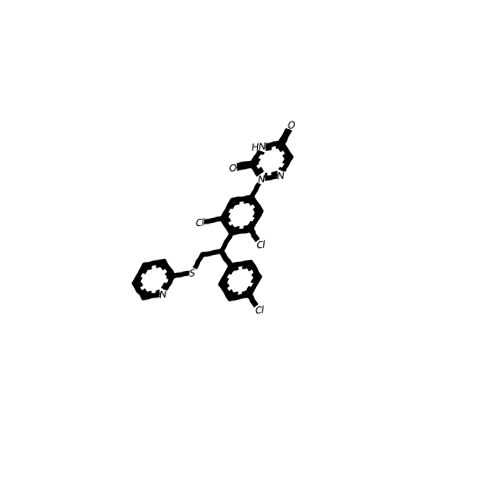 O=c1cnn(-c2cc(Cl)c(C(CSc3ccccn3)c3ccc(Cl)cc3)c(Cl)c2)c(=O)[nH]1